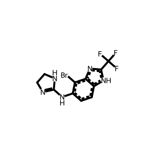 FC(F)(F)c1nc2c(Br)c(NC3=NCCN3)ccc2[nH]1